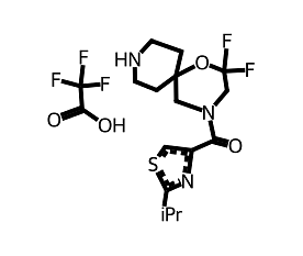 CC(C)c1nc(C(=O)N2CC(F)(F)OC3(CCNCC3)C2)cs1.O=C(O)C(F)(F)F